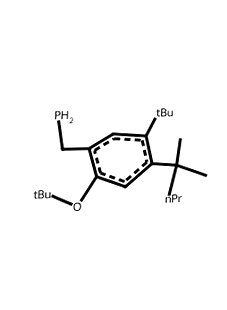 CCCC(C)(C)c1cc(OC(C)(C)C)c(CP)cc1C(C)(C)C